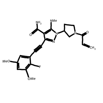 C=CC(=O)N1CCC(n2nc(C#Cc3cc(OC)cc(OC)c3F)c(C(N)=O)c2NC)C1